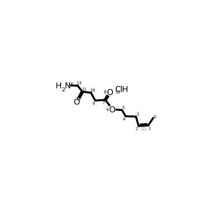 C/C=C\CCCOC(=O)CCC(=O)CN.Cl